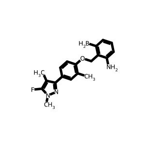 Bc1cccc(N)c1COc1ccc(-c2nn(C)c(F)c2C)cc1C